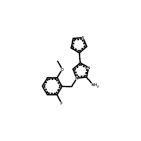 COc1cccc(F)c1Cn1cc(-c2ccsc2)nc1N